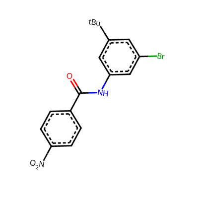 CC(C)(C)c1cc(Br)cc(NC(=O)c2ccc([N+](=O)[O-])cc2)c1